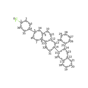 Fc1ccc(-c2ccc3c(ccc4cc(-c5cc6ccccc6cc5-c5ccccc5)ccc43)c2)cc1